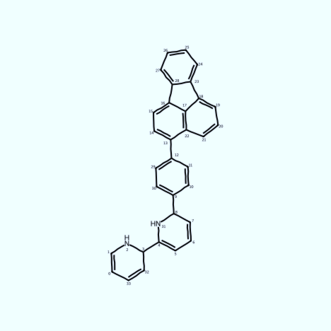 C1=CNC(C2=CC=CC(c3ccc(-c4ccc5c6c(cccc46)-c4ccccc4-5)cc3)N2)C=C1